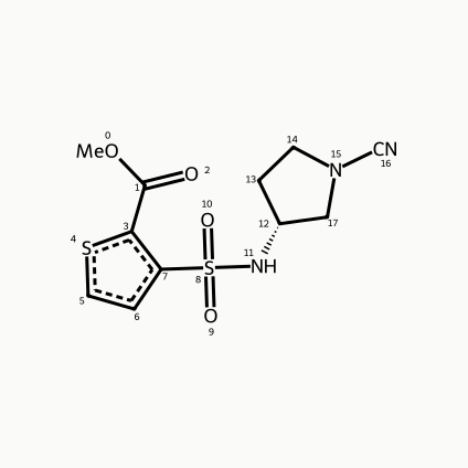 COC(=O)c1sccc1S(=O)(=O)N[C@@H]1CCN(C#N)C1